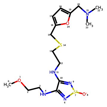 COCCNc1n[s+]([O-])nc1NCCSCc1ccc(CN(C)C)o1